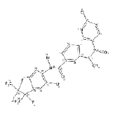 CN(C(=O)c1ccc(Cl)nc1)c1cccc(C(=O)N(Br)c2ccc(C(F)(C(F)(F)F)C(F)(F)C(F)(F)F)cc2Br)c1